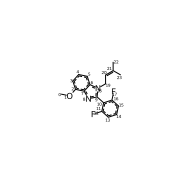 COc1cccc2c1nc(-c1c(F)cccc1F)n2CC=C(C)C